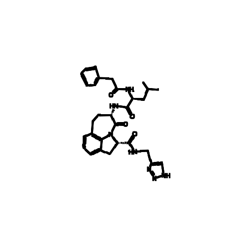 CC(C)C[C@H](NC(=O)Cc1ccccc1)C(=O)N[C@H]1CCc2cccc3c2N(C1=O)[C@H](C(=O)NCc1c[nH]nn1)C3